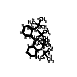 CN(c1ccccc1P(C(C)(C)C)C(C)(C)C)c1ccccc1P(C(C)(C)C)C(C)(C)C